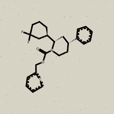 O=C(OCc1ccccc1)N1CC[C@@H](c2ccccc2)C[C@H]1[C@@H]1CCCC(F)(F)C1